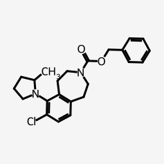 CC1CCCN1c1c(Cl)ccc2c1CCN(C(=O)OCc1ccccc1)CC2